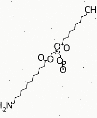 CCCCCCCCCC(=O)O[C@H](COP=O)COC(=O)CCCCCCCCCCCN